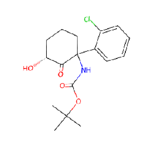 CC(C)(C)OC(=O)NC1(c2ccccc2Cl)CCC[C@@H](O)C1=O